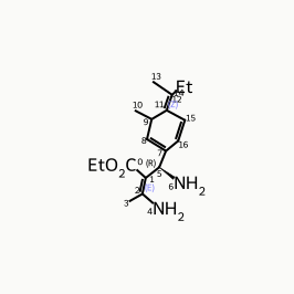 CCOC(=O)/C(=C(\C)N)[C@H](N)C1=CC(C)/C(=C(\C)CC)C=C1